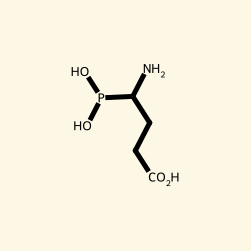 NC(CCC(=O)O)P(O)O